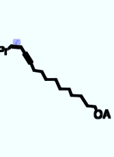 CCC/C=C\C#CCCCCCCCCCCOC(C)=O